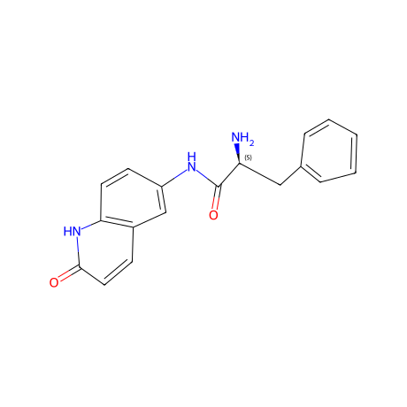 N[C@@H](Cc1ccccc1)C(=O)Nc1ccc2[nH]c(=O)ccc2c1